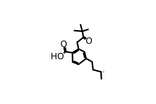 C[CH]CCc1ccc(C(=O)O)c(CC(=O)C(C)(C)C)c1